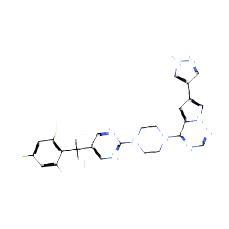 Cn1cc(-c2cc3c(N4CCN(c5ncc(C(C)(C)c6c(F)cc(F)cc6F)cn5)CC4)ncnn3c2)cn1